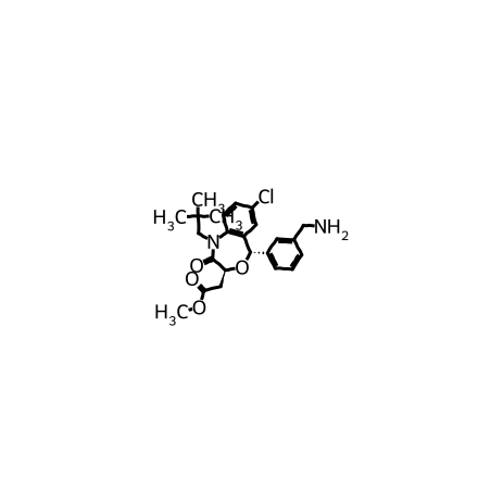 COC(=O)C[C@@H]1O[C@@H](c2cccc(CN)c2)c2cc(Cl)ccc2N(CC(C)(C)C)C1=O